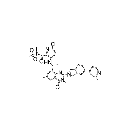 Cc1cc([C@@H](C)Nc2ccc(Cl)nc2C(=O)NS(C)(=O)=O)c2nc(N3Cc4ccc(-c5ccnc(C)c5)cc4C3)n(C)c(=O)c2c1